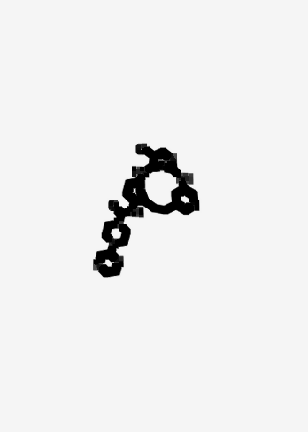 O=C(Nc1ccc2cc1CCc1cncc(c1)Nc1ncc(Cl)c(n1)N2)N1CCN(c2cnccn2)CC1